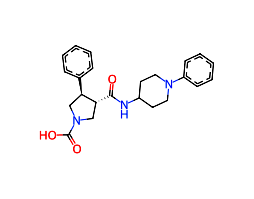 O=C(NC1CCN(c2ccccc2)CC1)[C@@H]1CN(C(=O)O)C[C@H]1c1ccccc1